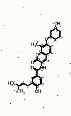 CC(C)=CCc1cc(C(=O)Nc2cc3ccc(OC4CCCN(C)C4)c(C)c3oc2=O)ccc1O